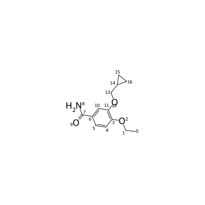 CCOc1ccc(C(N)=O)cc1OCC1CC1